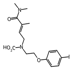 C/C(=C\CN(CCOc1ccc(I)cc1)C(=O)O)C(=O)N(C)C